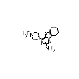 CN1CCN(c2nc(N)nc3c4c(sc23)CCCCC4)CC1